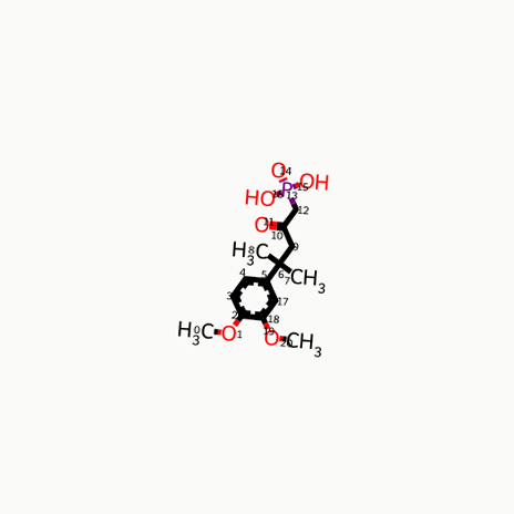 COc1ccc(C(C)(C)CC(=O)CP(=O)(O)O)cc1OC